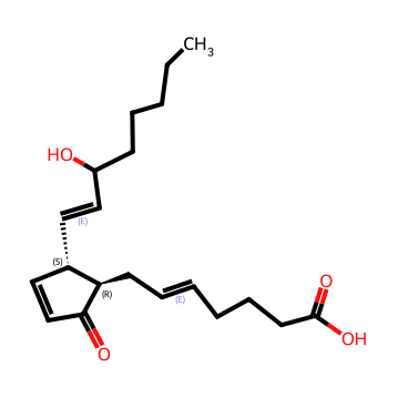 CCCCCC(O)/C=C/[C@H]1C=CC(=O)[C@@H]1C/C=C/CCCC(=O)O